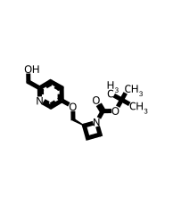 CC(C)(C)OC(=O)N1CC[C@H]1COc1ccc(CO)nc1